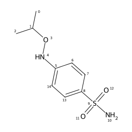 CC(C)ONc1ccc(S(N)(=O)=O)cc1